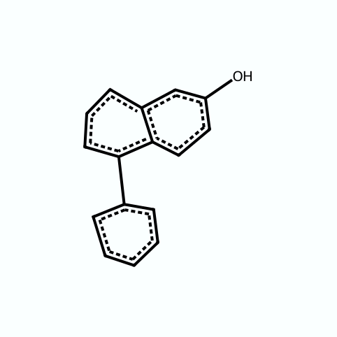 Oc1ccc2c(-c3ccccc3)cccc2c1